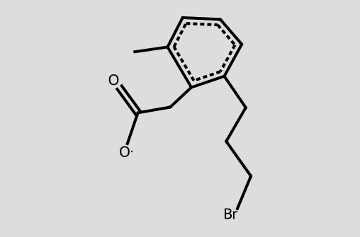 Cc1cccc(CCCBr)c1CC([O])=O